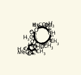 CC[C@H]1OC(=O)[C@H](C)[C@@H](O[C@H]2C[C@@](C)(OC)[C@]3(CO3)[C@H](C)O2)[C@H](C)C[C@@](C)(O)C[C@@H](C)CN[C@H](C)[C@@H](O)[C@]1(C)O